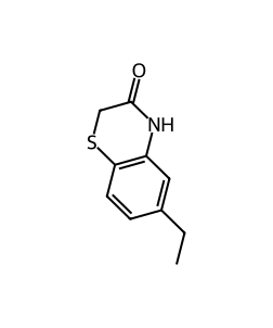 CCc1ccc2c(c1)NC(=O)CS2